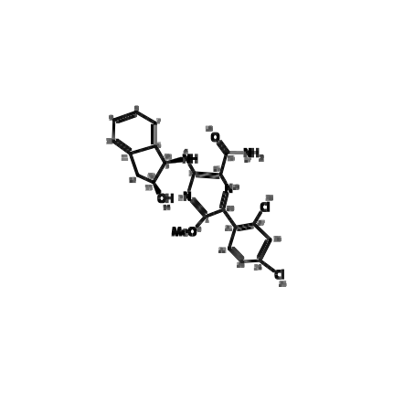 COc1nc(N[C@@H]2c3ccccc3C[C@@H]2O)c(C(N)=O)nc1-c1ccc(Cl)cc1Cl